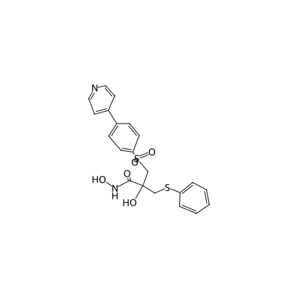 O=C(NO)C(O)(CSc1ccccc1)CS(=O)(=O)c1ccc(-c2ccncc2)cc1